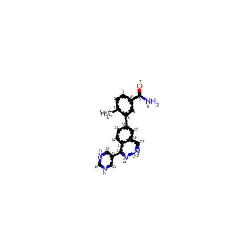 Cc1ccc(C(N)=O)cc1-c1ccc2c(-c3cncnc3)nncc2c1